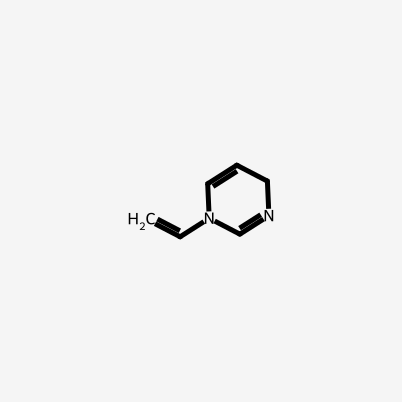 C=CN1C=CCN=C1